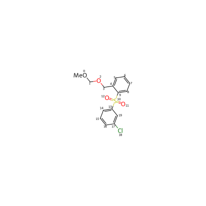 COCOCc1ccccc1S(=O)(=O)c1cccc(Cl)c1